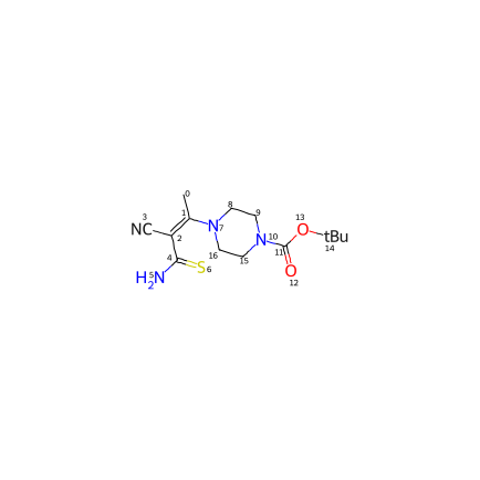 CC(=C(C#N)C(N)=S)N1CCN(C(=O)OC(C)(C)C)CC1